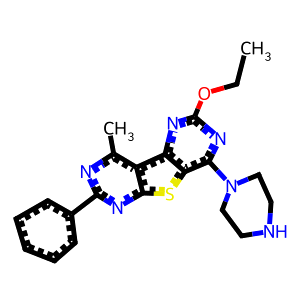 CCOc1nc(N2CCNCC2)c2sc3nc(-c4ccccc4)nc(C)c3c2n1